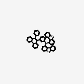 c1ccc(-c2c(-c3cccc(N(c4cccc5oc6ccccc6c45)c4cccc5oc6ccccc6c45)c3)c3ccccc3c3ccccc23)cc1